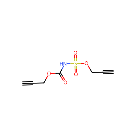 C#CCOC(=O)NS(=O)(=O)OCC#C